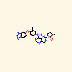 Cc1cc(Nc2ncnc3cnc(N4CC[C@@H](C)C4=O)nc23)ccc1Oc1ccc2c(c1)ncn2C